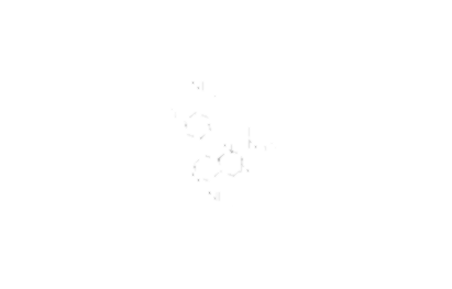 CC(C)(C)Nc1ncc2c(N)ncc(-c3ccc4c(c3)OCC4N)c2n1